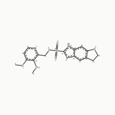 COc1ccnc(COS(=O)(=O)c2nc3cc4c(cc3[nH]2)OCC4)c1OC